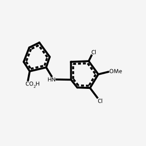 COc1c(Cl)cc(Nc2ccccc2C(=O)O)cc1Cl